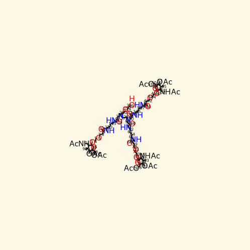 CC(=O)NC1C(OCCOCCC(=O)NCCCCNC(=O)CN(CCOCCO)CCN(CC(=O)NCCCCNC(=O)CCOCCOC2OC(COC(C)=O)C(OC(C)=O)C(C)C2NC(C)=O)CC(=O)NCCCCNC(=O)CCOCCOC2OC(COC(C)=O)C(OC(C)=O)C(C)C2NC(C)=O)OC(COC(C)=O)C(OC(C)=O)C1C